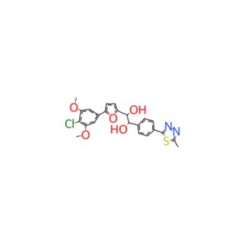 COc1cc(-c2ccc(C(O)C(O)c3ccc(-c4nnc(C)s4)cc3)o2)cc(OC)c1Cl